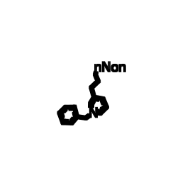 CCCCCCCCCCCCc1ccc[n+](Cc2ccccc2)c1